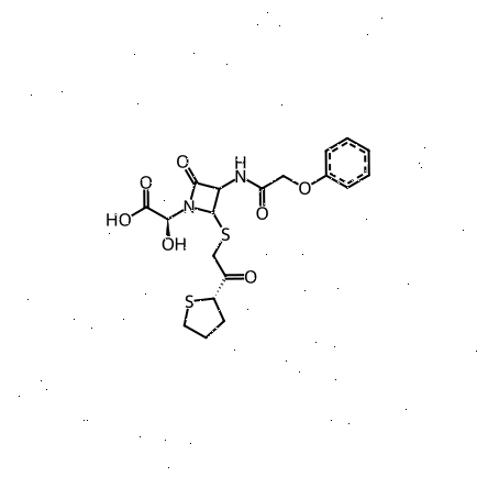 O=C(COc1ccccc1)NC1C(=O)N([C@@H](O)C(=O)O)C1SCC(=O)[C@@H]1CCCS1